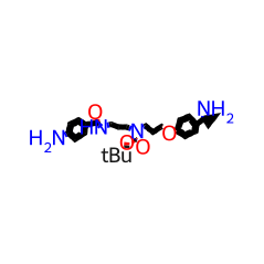 CC(C)(C)OC(=O)N(CCCNC(=O)c1ccc(N)cc1)CCCOc1ccc(C2(N)CC2)cc1